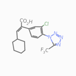 O=C(O)C(=CC1CCCCC1)c1ccc(-n2nnnc2C(F)(F)F)c(Cl)c1